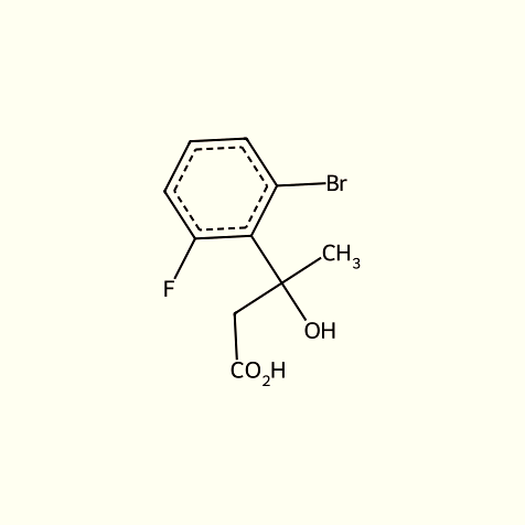 CC(O)(CC(=O)O)c1c(F)cccc1Br